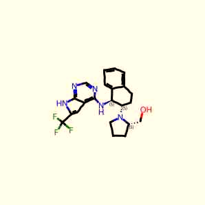 OC[C@@H]1CCCN1[C@H]1CCc2ccccc2[C@@H]1Nc1ncnc2[nH]c(C(F)(F)F)cc12